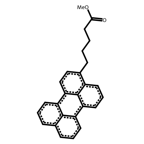 COC(=O)CCCCc1ccc2c3cccc4cccc(c5cccc1c52)c43